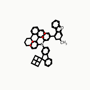 CC1C=c2oc3ccccc3c2=C(c2cccc(N(c3ccc4c(c3)C3(c5ccccc5-4)C4CC5CC6CC3C564)c3ccccc3-c3cccc4cccc(C5CCCCC5)c34)c2)C1